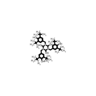 CC(C)(C)c1cc(CN2C(O)N(Cc3cc(C(C)(C)C)c(O)c(C(C)(C)C)c3)C(O)N(Cc3cc(C(C)(C)C)c(O)c(C(C)(C)C)c3)C2O)cc(C(C)(C)C)c1O